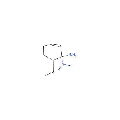 CCC1C=CC=CC1(N)N(C)C